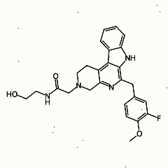 COc1ccc(Cc2nc3c(c4c2[nH]c2ccccc24)CCN(CC(=O)NCCO)C3)cc1F